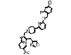 CC(=O)c1ccc2nc(CN3CC=C(c4cccc(OCc5ccc(Cl)cc5F)n4)CC3)c(Cc3cocn3)n2c1